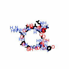 CC[C@H](C)[C@@H]1NC(=O)[C@@H](CCCNC(=N)N)NC(=O)[C@H](CC(C)C)NC(=O)[C@H]([C@H](O)C(C)C)NC(=O)[C@@H](NC(=O)[C@H](CC(C)C)NC(=O)[C@H](N)CC(C)C)[C@@H](c2ccccc2)OC(=O)[C@H](CO)NC(=O)[C@H]([C@H](OC(=O)Nc2cccc(OC)c2)C(N)=O)NC(=O)CNC(=O)[C@H]([C@H](C)O)NC1=O